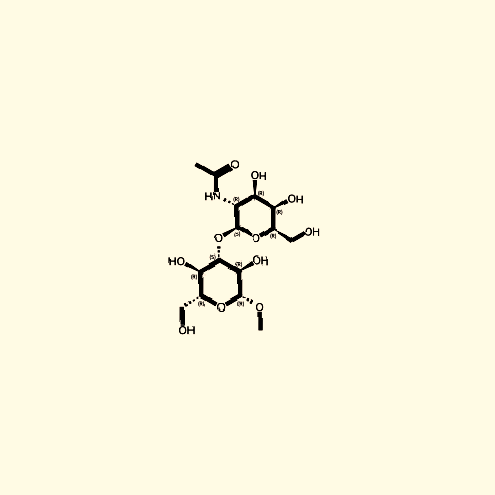 CO[C@@H]1O[C@H](CO)[C@@H](O)[C@H](O[C@@H]2O[C@H](CO)[C@H](O)[C@H](O)[C@H]2NC(C)=O)[C@H]1O